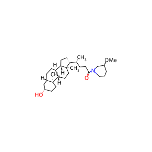 CO[C@H]1CCCN(C(=O)CC[C@@H](C)[C@H]2CC[C@H]3[C@@H]4CC[C@H]5C[C@@H](O)CC[C@]5(C)[C@H]4CC[C@]23C)C1